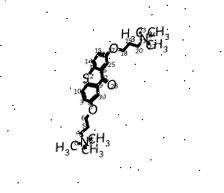 C[N+](C)(C)CCCOc1ccc2sc3ccc(OCCC[N+](C)(C)C)cc3c(=O)c2c1